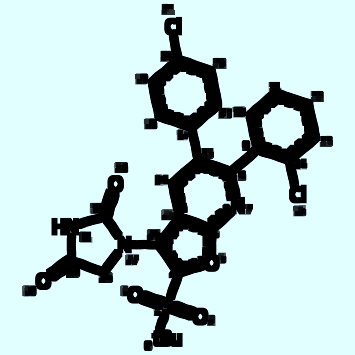 CC(C)(C)S(=O)(=O)c1oc2nc(-c3ccccc3Cl)c(-c3ccc(Cl)cc3)cc2c1N1CC(=O)NC1=O